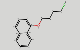 ClCCCCOc1cccc2ccccc12